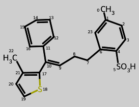 Cc1ccc(S(=O)(=O)O)c(CC/C=C(\c2ccccc2)c2sccc2C)c1